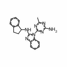 Cc1nc(N)nc(-n2c(NC3CCc4ccccc43)nc3ccccc32)n1